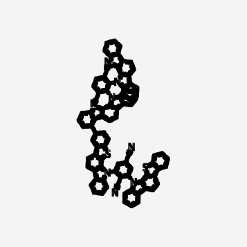 N#Cc1cc(-n2c3ccccc3c3ccc4c5ccccc5sc4c32)c(C#N)c(-n2c3ccccc3c3ccc4c5cc(-c6cccc7sc8c(ccc9c%10ccccc%10n(-c%10c(C#N)ccc(C#N)c%10-n%10c%11ccccc%11c%11ccc%12c%13ccccc%13sc%12c%11%10)c98)c67)ccc5sc4c32)c1